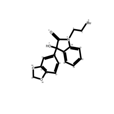 CCC(C)CCN1C(=O)C(O)(c2ccc3c(c2)OCO3)c2ccccc21